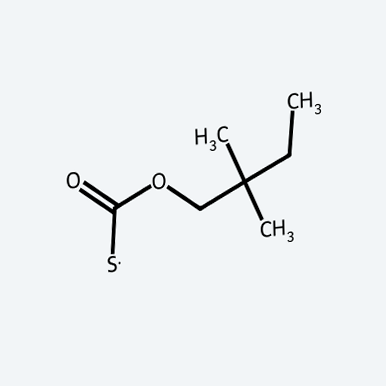 CCC(C)(C)COC(=O)[S]